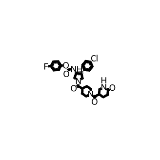 O=C1CCC(C(=O)N2CCC(C(=O)N3C[C@@H](NC(=O)Oc4ccc(F)cc4)[C@H](c4ccc(Cl)cc4)C3)CC2)CN1